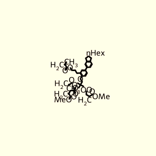 C=C(C)C(=O)OCCCc1cc(-c2ccc3c(c2)CC(CCCCCC)C3)ccc1OCC(COC(=O)CC(=C)C(=O)OC)(COC(=O)CC(=C)C(=O)OC)COC(=O)C(=C)C